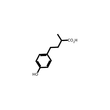 CC(CCc1ccc(O)cc1)C(=O)O